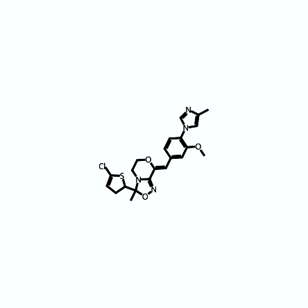 COc1cc(/C=C2\OCCN3C2=NOC3(C)C2CC=C(Cl)S2)ccc1-n1cnc(C)c1